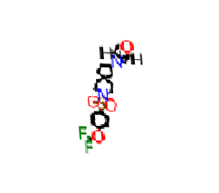 O=S(=O)(c1ccc(OC(F)F)cc1)N1CCC2(CCC(N3C[C@@H]4C[C@H]3CO4)C2)CC1